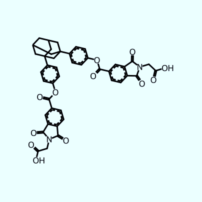 O=C(O)CN1C(=O)c2ccc(C(=O)Oc3ccc(C45CC6CC(C4)CC(c4ccc(OC(=O)c7ccc8c(c7)C(=O)N(CC(=O)O)C8=O)cc4)(C6)C5)cc3)cc2C1=O